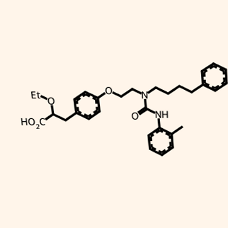 CCOC(Cc1ccc(OCCN(CCCCc2ccccc2)C(=O)Nc2ccccc2C)cc1)C(=O)O